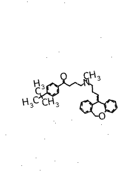 CN(CC/C=C1\c2ccccc2COc2ccccc21)CCCC(=O)c1ccc(C(C)(C)C)cc1